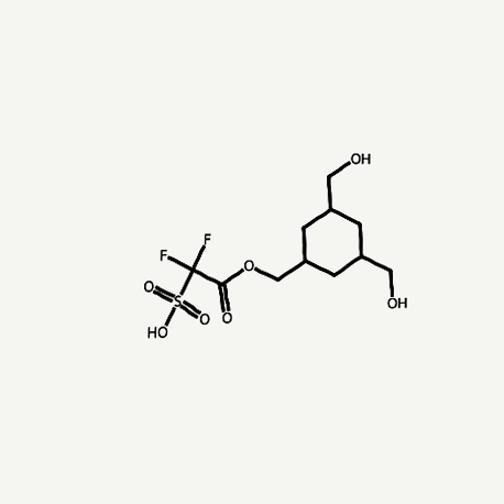 O=C(OCC1CC(CO)CC(CO)C1)C(F)(F)S(=O)(=O)O